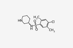 Cc1cc(S(=O)(=O)N[C@@H]2CCCNC2)c(C)cc1Cl